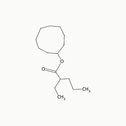 CCCC(CC)C(=O)OC1CCCCCCCC1